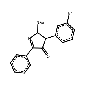 CNC1N=C(c2ccccc2)C(=O)C1c1cccc(Br)c1